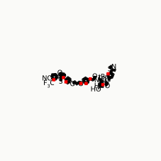 Cc1ncsc1-c1ccc(CNC(=O)[C@@H]2C[C@@H](O)CN2C(=O)[C@@H](NC(=O)CCc2ccc(OCCCOc3ccc(N4C(=S)N(c5ccc(C#N)c(C(F)(F)F)c5)C(=O)C4(C)C)cc3)cc2)C(C)(C)C)cc1